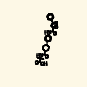 CC(C)(NC(=O)[C@H]1CC[C@H](c2ccc(NC(=O)c3cc(-c4ccccc4)no3)cc2)CC1)C(=O)O